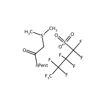 CCCCCC(=O)C[S+](C)C.O=S(=O)([O-])C(F)(F)C(F)(F)C(F)(F)C(F)(F)F